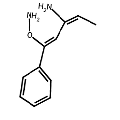 C/C=C(N)\C=C(/ON)c1ccccc1